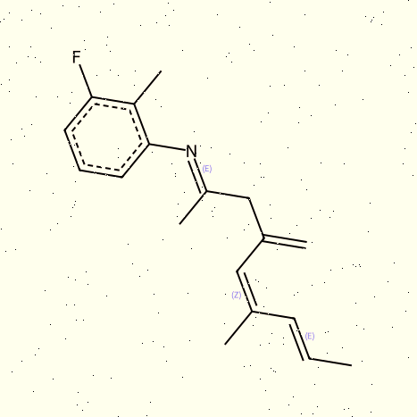 C=C(/C=C(C)\C=C\C)C/C(C)=N/c1cccc(F)c1C